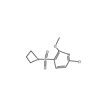 COc1nc(Cl)ccc1S(=O)(=O)N1CCC1